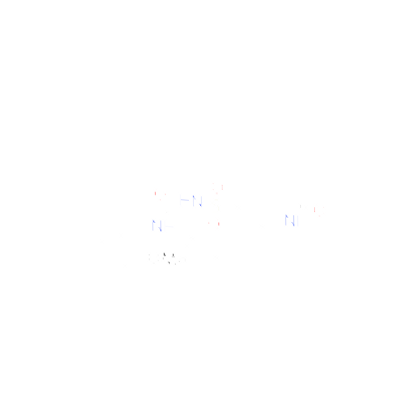 COc1ccccc1CNC(=O)C(NS(=O)(=O)c1ccc2c(c1)CCC(=O)N2)c1ccccc1